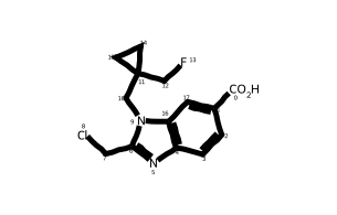 O=C(O)c1ccc2nc(CCl)n(CC3(CF)CC3)c2c1